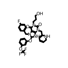 O=c1c2c(n(CC3=CC=CCN3)c(=O)n1CCCO)NC(Oc1cccc(OC(F)(F)F)c1)N2Cc1ccc(F)cc1